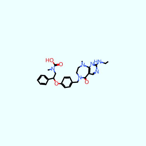 CCNc1ncc2c(n1)N(C)CCN(Cc1ccc(OC(CN(C)C(=O)O)c3ccccc3)cc1)C2=O